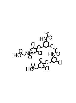 CC(C)C(=O)Nc1cc(Cl)cc(COc2c(Cl)cc(C(=O)NCC(=O)O)cc2Cl)c1.CC(C)C(=O)Nc1cc(Cl)cc(COc2c(Cl)cc(CC(=O)O)cc2Cl)c1